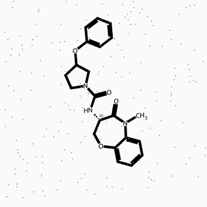 CN1C(=O)[C@@H](NC(=O)N2CCC(Oc3ccccc3)C2)COc2ccccc21